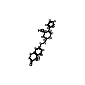 O=C1CCc2cc(CCN3CCC(c4cccs4)C(O)C3)ccc2N1